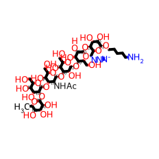 CC(=O)N[C@H]1C(O[C@@H]2OC(CO)[C@H](O)C(O)[C@@H]2O[C@@H]2OC(C)[C@@H](O)C(O)[C@@H]2O)[C@@H](O)C(CO)O[C@H]1O[C@@H]1C(O)[C@@H](O[C@H]2C(CO)O[C@@H](O[C@@H]3C(CN=[N+]=[N-])O[C@@H](OCCCCCN)[C@@H](O)C3O)[C@@H](O)C2O)OC(CO)[C@@H]1O